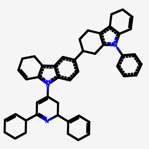 C1=CCCC(C2CC(n3c4c(c5cc(C6CCc7c8c(n(-c9ccccc9)c7C6)C=CCC8)ccc53)CCC=C4)=CC(C3C=CCCC3)=N2)=C1